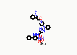 CC(C)(C)OC(=O)Nc1ccc(-c2ccccc2)cc1NC(=O)c1cnc(N(c2ccccc2)C2CCN(C(=O)CC3=CNC4C=CC=CC34)CC2)nc1